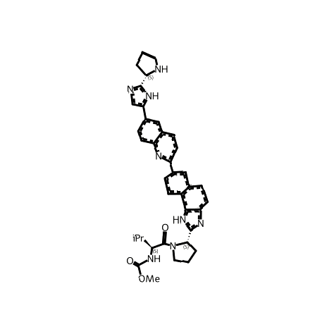 COC(=O)N[C@H](C(=O)N1CCC[C@H]1c1nc2ccc3cc(-c4ccc5cc(-c6cnc([C@@H]7CCCN7)[nH]6)ccc5n4)ccc3c2[nH]1)C(C)C